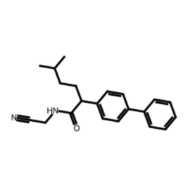 CC(C)CCC(C(=O)NCC#N)c1ccc(-c2ccccc2)cc1